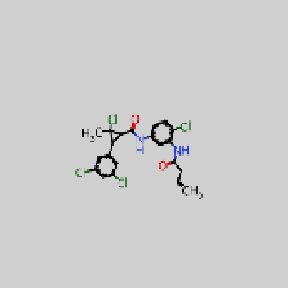 C=CCC(=O)Nc1cc(NC(=O)C2C(c3cc(Cl)cc(Cl)c3)C2(C)Cl)ccc1Cl